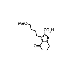 COCCCCn1c(C(=O)O)cc2c1C(=O)CCC2